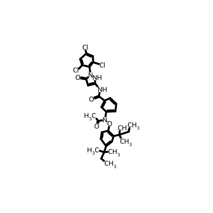 CCC(C)(C)c1ccc(ON(C(C)=O)c2cccc(C(=O)Nc3cc(=O)n(-c4c(Cl)cc(Cl)cc4Cl)[nH]3)c2)c(C(C)(C)CC)c1